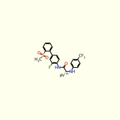 CC(C)[C@@H](Nc1ccc(C(F)(F)F)cc1)C(=O)Nc1ccc(-c2ccccc2S(C)(=O)=O)cc1F